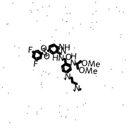 COCC(COC)Nc1cc(N(C)CCCN(C)C)ccc1C(=O)Nc1n[nH]c2ccc(S(=O)(=O)c3cc(F)cc(F)c3)cc12